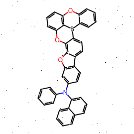 c1ccc(N(c2ccc3c(c2)oc2c4c(ccc23)B2c3ccccc3Oc3cccc(c32)O4)c2cccc3ccccc23)cc1